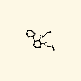 C=CCOc1cccc(-c2ccccc2)c1OCC=C